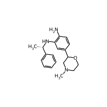 C[C@H](Nc1cc(C2CN(C)CCO2)ccc1N)c1ccccc1